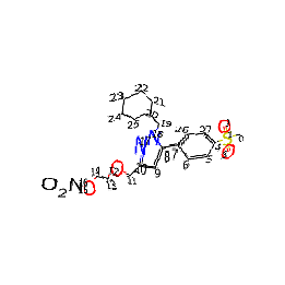 CS(=O)(=O)c1ccc(-c2cc(COCCO[N+](=O)[O-])nn2CC2CCCCC2)cc1